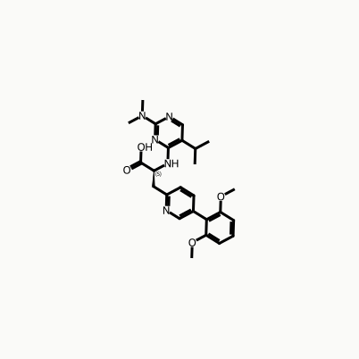 COc1cccc(OC)c1-c1ccc(C[C@H](Nc2nc(N(C)C)ncc2C(C)C)C(=O)O)nc1